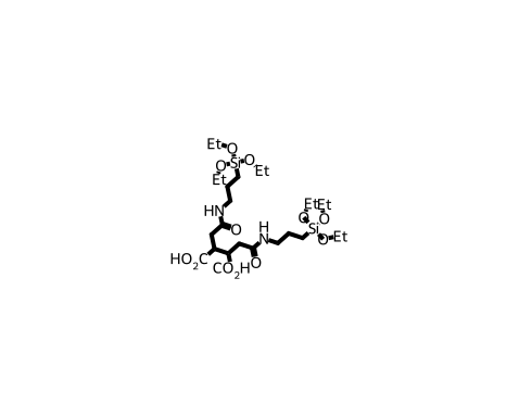 CCO[Si](CCCNC(=O)CC(C(=O)O)C(CC(=O)NCCC[Si](OCC)(OCC)OCC)C(=O)O)(OCC)OCC